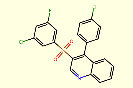 O=S(=O)(c1cc(F)cc(Cl)c1)c1cnc2ccccc2c1-c1ccc(Cl)cc1